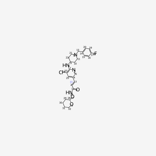 O=C(/C=C/c1cnc(NC2CCN(Cc3ccc(F)cc3)CC2)c(Cl)c1)NOC1CCCCO1